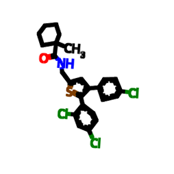 CC1(C(=O)NCc2cc(-c3ccc(Cl)cc3)c(-c3ccc(Cl)cc3Cl)s2)CCCCC1